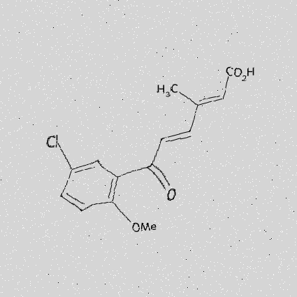 COc1ccc(Cl)cc1C(=O)/C=C/C(C)=C/C(=O)O